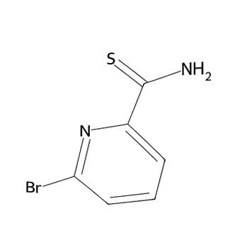 NC(=S)c1cccc(Br)n1